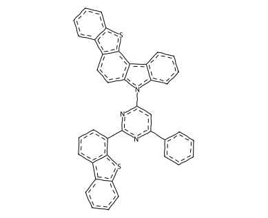 c1ccc(-c2cc(-n3c4ccccc4c4c5sc6ccccc6c5ccc43)nc(-c3cccc4c3sc3ccccc34)n2)cc1